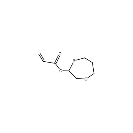 C=CC(=O)OC1COCCCS1